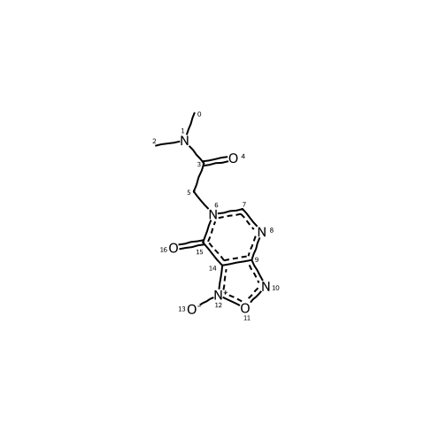 CN(C)C(=O)Cn1cnc2no[n+]([O-])c2c1=O